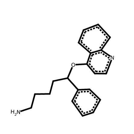 NCCCCC(Oc1ccnc2ccccc12)c1ccccc1